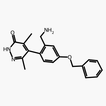 Cc1n[nH]c(=O)c(C)c1-c1ccc(OCc2ccccc2)cc1CN